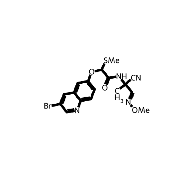 CON=CC(C)(C#N)NC(=O)C(Oc1ccc2ncc(Br)cc2c1)SC